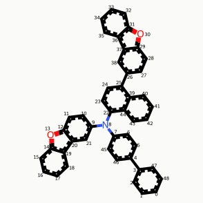 c1ccc(-c2ccc(N(c3ccc4oc5ccccc5c4c3)c3ccc(-c4ccc5oc6ccccc6c5c4)c4ccccc34)cc2)cc1